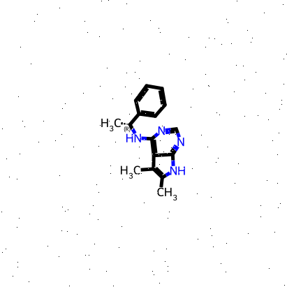 Cc1[nH]c2ncnc(N[C@H](C)c3ccccc3)c2c1C